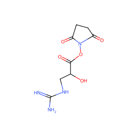 N=C(N)NCC(O)C(=O)ON1C(=O)CCC1=O